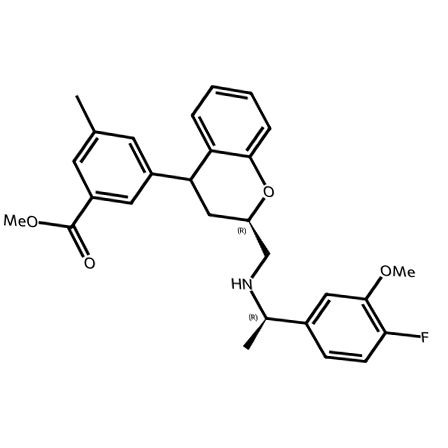 COC(=O)c1cc(C)cc(C2C[C@H](CN[C@H](C)c3ccc(F)c(OC)c3)Oc3ccccc32)c1